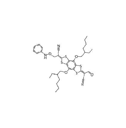 CCCCC(CC)COc1c2c(c(OCC(CC)CCCC)c3c1SC(=C(C#N)CONc1ccccc1)S3)SC(=C(C#N)C=O)S2